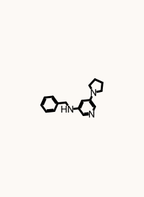 c1ccc(CNc2cncc(N3CCCC3)c2)cc1